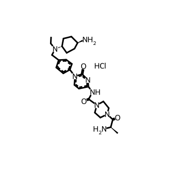 CCN(Cc1ccc(-n2ccc(NC(=O)N3CCN(C(=O)[C@@H](C)N)CC3)nc2=O)cc1)[C@H]1CC[C@H](N)CC1.Cl